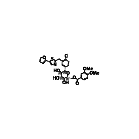 COc1ccc(C(=O)OC[C@H]2O[C@@H](c3ccc(Cl)c(Cc4ncc(-c5ccco5)s4)c3)[C@H](O)[C@@H](O)[C@@H]2O)cc1OC